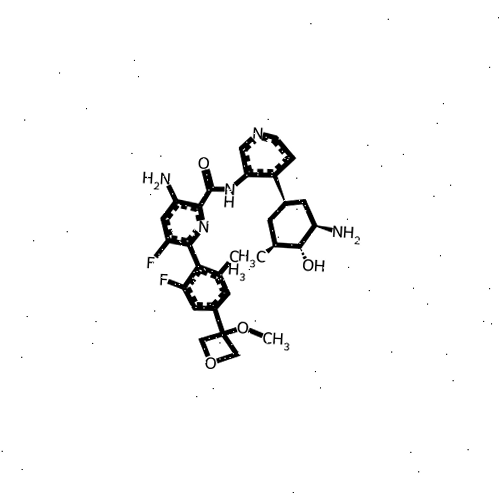 COC1(c2cc(C)c(-c3nc(C(=O)Nc4cnccc4[C@H]4C[C@@H](N)[C@H](O)[C@@H](C)C4)c(N)cc3F)c(F)c2)COC1